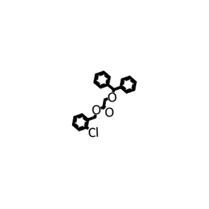 O=C(COC(c1ccccc1)c1ccccc1)OCc1ccccc1Cl